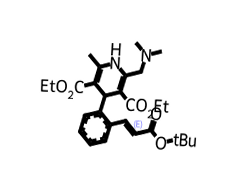 CCOC(=O)C1=C(C)NC(CN(C)C)=C(C(=O)OCC)C1c1ccccc1/C=C/C(=O)OC(C)(C)C